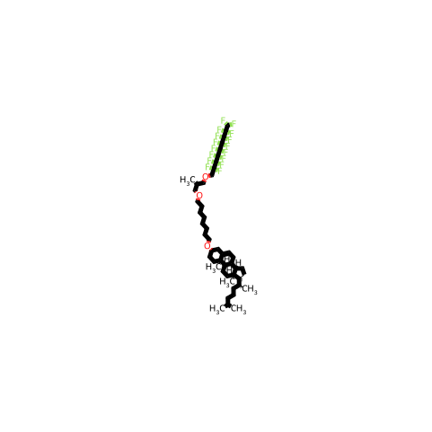 CC(C)CCC[C@@H](C)[C@H]1CC[C@H]2[C@@H]3CC=C4CC(OCCCCCCCCOCC(C)COCC(F)(F)C(F)(F)C(F)(F)C(F)(F)C(F)(F)C(F)(F)C(F)(F)C(F)F)CC[C@]4(C)[C@H]3CC[C@]12C